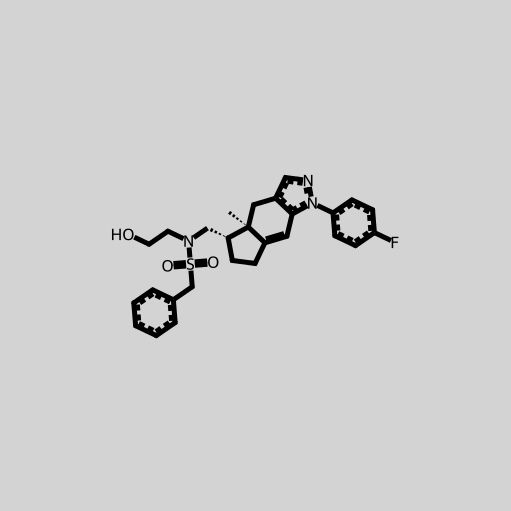 C[C@]12Cc3cnn(-c4ccc(F)cc4)c3C=C1CC[C@@H]2CN(CCO)S(=O)(=O)Cc1ccccc1